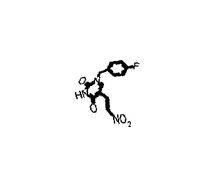 O=c1[nH]c(=O)n(Cc2ccc(F)cc2)cc1/C=C/[N+](=O)[O-]